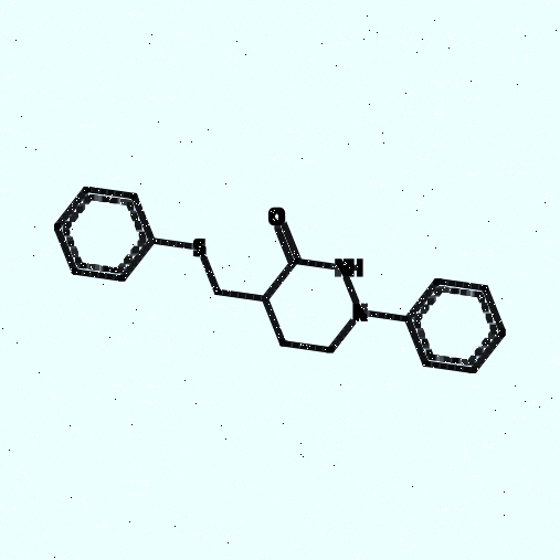 O=C1NN(c2ccccc2)CCC1CSc1ccccc1